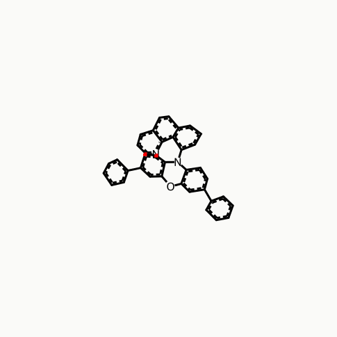 c1ccc(-c2ccc3c(c2)Oc2cc(-c4ccccc4)ccc2N3c2cccc3ccc4cccnc4c23)cc1